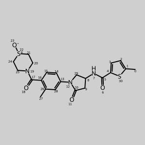 Cc1ccc(C(=O)NC2CC(=O)N(c3ccc(C(=O)N4CC[S+]([O-])CC4)c(C)c3)C2)s1